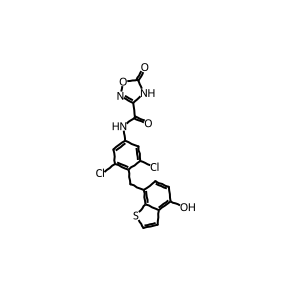 O=C(Nc1cc(Cl)c(Cc2ccc(O)c3ccsc23)c(Cl)c1)c1noc(=O)[nH]1